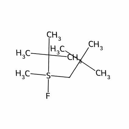 CC(C)(C)CS(C)(F)C(C)(C)C